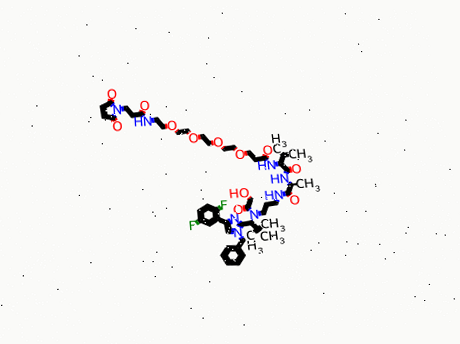 CC(C)C(NC(=O)CCOCCOCCOCCOCCNC(=O)CCN1C(=O)C=CC1=O)C(=O)N[C@@H](C)C(=O)NCCCN(C(=O)CO)[C@@H](c1nc(-c2cc(F)ccc2F)cn1Cc1ccccc1)C(C)(C)C